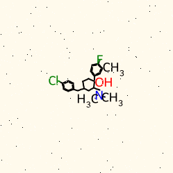 Cc1cc(C2(O)CCC(Cc3ccc(Cl)cc3)CC2CN(C)C)ccc1F